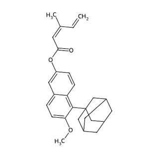 C=CC(C)=CC(=O)Oc1ccc2c(C34CC5CC(CC(C5)C3)C4)c(OC)ccc2c1